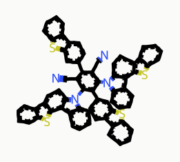 N#Cc1c(-c2ccc3c(c2)sc2ccccc23)c(C#N)c(-n2c3ccccc3c3c4sc5ccccc5c4ccc32)c(-c2ccc3c(c2)sc2ccccc23)c1-n1c2ccccc2c2c3sc4ccccc4c3ccc21